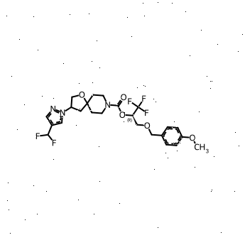 COc1ccc(COC[C@@H](OC(=O)N2CCC3(CC2)CC(n2cc(C(F)F)cn2)CO3)C(F)(F)F)cc1